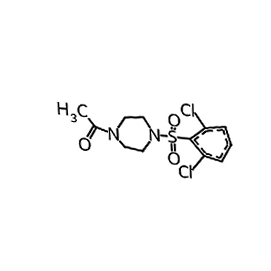 CC(=O)N1CCN(S(=O)(=O)c2c(Cl)cccc2Cl)CC1